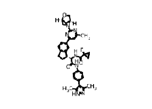 Cc1cc(-c2ccc3c(c2)[C@H](C(NC(=O)C2(F)CC2)C(=O)Nc2ccc(-c4c(C)n[nH]c4C)cc2)CC3)nc(N2C[C@@H]3C[C@H]2CO3)n1